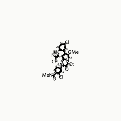 CC[C@@H](C(=O)Nc1ccc(C(=O)NC)c(Cl)c1)n1cc(OC)c(-c2cc(Cl)ccc2-n2cc(C(F)(F)F)nn2)cc1=O